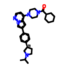 CC(C)N1CC[C@H](c2ccc(-c3cc4c(N5CCN(C(=O)C6CCCCC6)CC5)ccnn4c3)cc2)C1